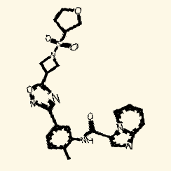 Cc1ccc(-c2noc(C3CN(S(=O)(=O)C4CCOC4)C3)n2)cc1NC(=O)c1cnc2ccccn12